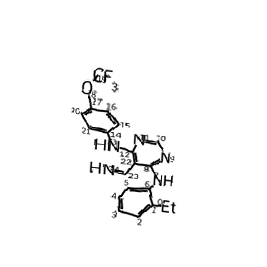 CCc1ccccc1Nc1ncnc(Nc2ccc(OC(F)(F)F)cc2)c1C=N